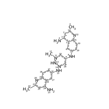 Cc1cc(N)c2cc(Nc3cn(C)[nH]n(Nc4ccc5nc(C)cc(N)c5c4)s3)ccc2n1